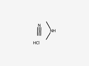 C#N.CNC.Cl